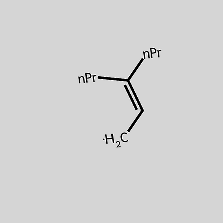 [CH2]C=C(CCC)CCC